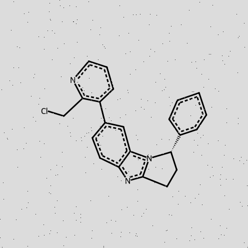 ClCc1ncccc1-c1ccc2nc3n(c2c1)[C@H](c1ccccc1)CC3